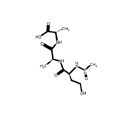 C[C@H](NC(=O)[C@H](C)NC(=O)[C@H](CCO)N[PH](C)=O)C(=O)O